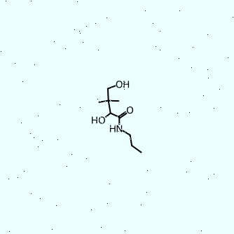 CCCNC(=O)C(O)C(C)(C)CO